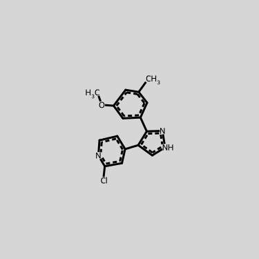 COc1cc(C)cc(-c2n[nH]cc2-c2ccnc(Cl)c2)c1